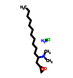 CCCCCCCCCCCC(CC1CO1)N(C)C.Cl.N